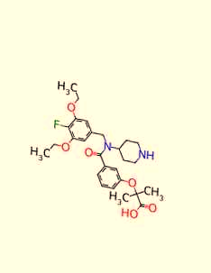 CCOc1cc(CN(C(=O)c2cccc(OC(C)(C)C(=O)O)c2)C2CCNCC2)cc(OCC)c1F